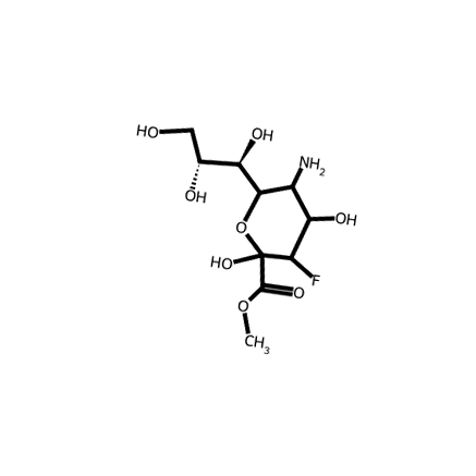 COC(=O)C1(O)OC([C@H](O)[C@H](O)CO)C(N)C(O)C1F